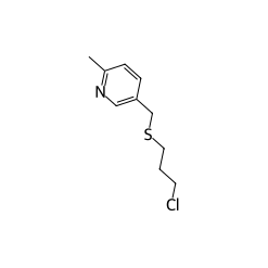 Cc1ccc(CSCCCCl)cn1